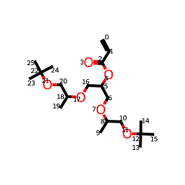 C=CC(=O)OC(COC(C)COC(C)(C)C)COC(C)COC(C)(C)C